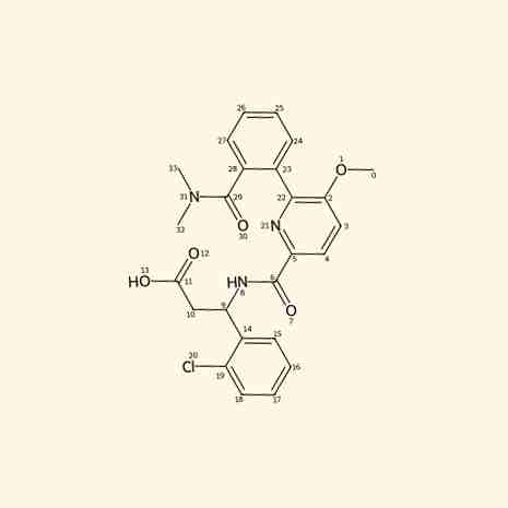 COc1ccc(C(=O)NC(CC(=O)O)c2ccccc2Cl)nc1-c1ccccc1C(=O)N(C)C